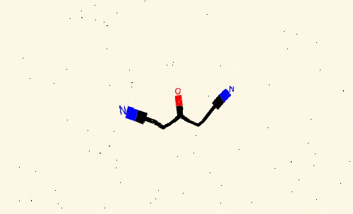 N#CCC(=O)CC#N